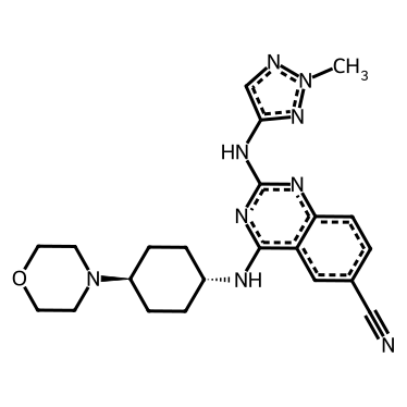 Cn1ncc(Nc2nc(N[C@H]3CC[C@H](N4CCOCC4)CC3)c3cc(C#N)ccc3n2)n1